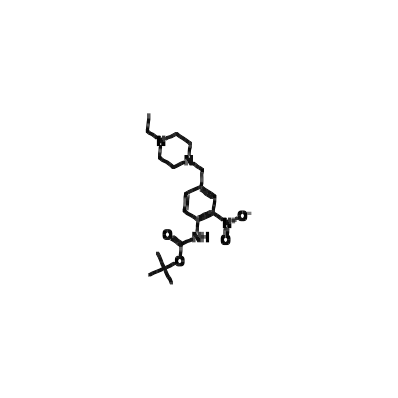 CCN1CCN(Cc2ccc(NC(=O)OC(C)(C)C)c([N+](=O)[O-])c2)CC1